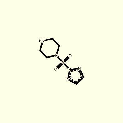 O=S(=O)(N1CCNCC1)n1nccn1